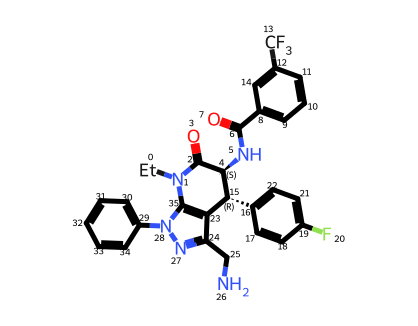 CCN1C(=O)[C@@H](NC(=O)c2cccc(C(F)(F)F)c2)[C@H](c2ccc(F)cc2)c2c(CN)nn(-c3ccccc3)c21